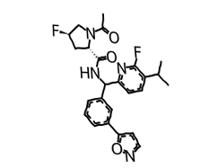 CC(=O)N1C[C@H](F)C[C@H]1C(=O)NC(c1cccc(-c2ccno2)c1)c1ccc(C(C)C)c(F)n1